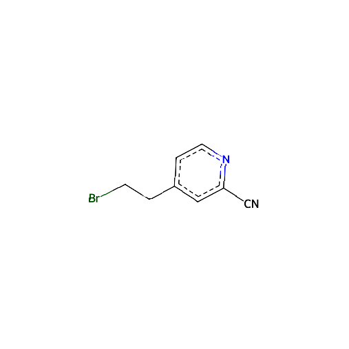 N#Cc1cc(CCBr)ccn1